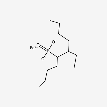 CCCCC(CC)C(CCCC)P(=O)([O-])[O-].[Fe+2]